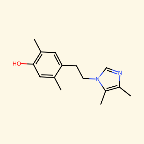 Cc1cc(CCn2cnc(C)c2C)c(C)cc1O